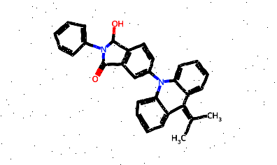 CC(C)=C1c2ccccc2N(c2ccc3c(c2)C(=O)N(c2ccccc2)C3O)c2ccccc21